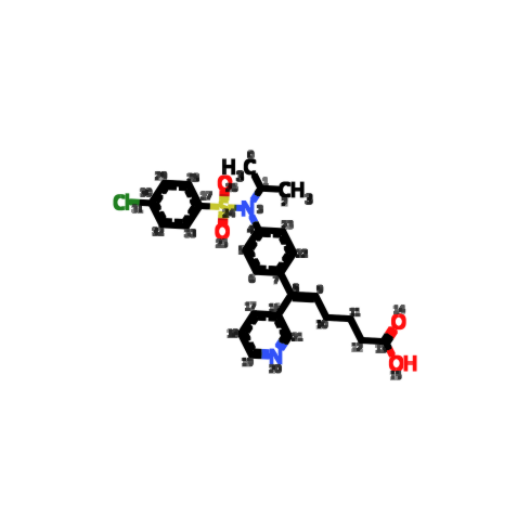 CC(C)N(c1ccc(/C(=C/CCCC(=O)O)c2cccnc2)cc1)S(=O)(=O)c1ccc(Cl)cc1